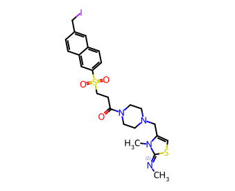 C/N=c1\scc(CN2CCN(C(=O)CCS(=O)(=O)c3ccc4cc(CI)ccc4c3)CC2)n1C